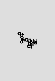 CC1(C)c2ccccc2-c2cc3c4ccccc4n(-c4ccc(Sc5nc(-c6ccccn6)nc(-c6ccccn6)n5)cc4)c3cc21